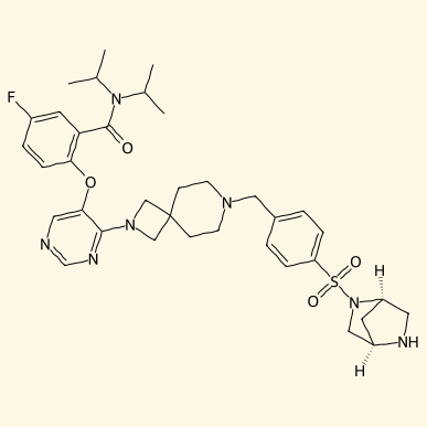 CC(C)N(C(=O)c1cc(F)ccc1Oc1cncnc1N1CC2(CCN(Cc3ccc(S(=O)(=O)N4C[C@H]5C[C@@H]4CN5)cc3)CC2)C1)C(C)C